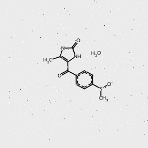 CC1=C(C(=O)c2ccc([S+](C)[O-])cc2)NC(=O)[N]1.O